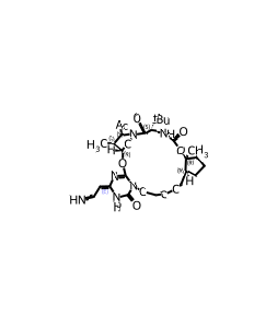 CC(=O)[C@@H]1[C@H](C)[C@@H]2CN1C(=O)[C@H](C(C)(C)C)NC(=O)O[C@]1(C)CCC[C@H]1CCCCCN1C(=O)N/C(=C\C=N)N=C1O2